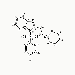 Cc1ccc(S(=O)(=O)n2c(CCN3CCCCC3)cc3ncccc32)cn1